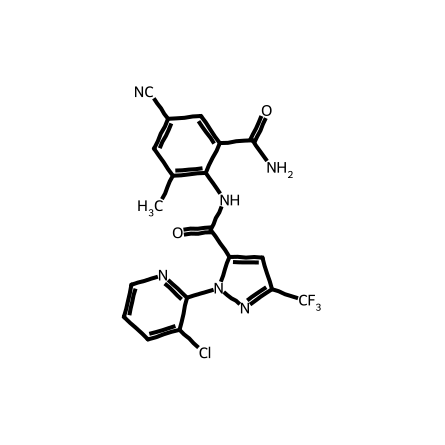 Cc1cc(C#N)cc(C(N)=O)c1NC(=O)c1cc(C(F)(F)F)nn1-c1ncccc1Cl